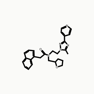 Cc1nc(-c2ccncc2)nn1CCN(CC1CCCO1)C(=O)Cc1cccc2ccccc12